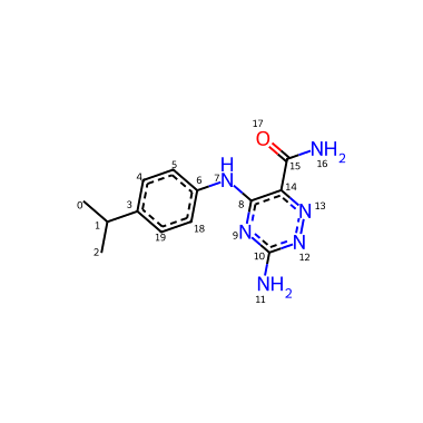 CC(C)c1ccc(Nc2nc(N)nnc2C(N)=O)cc1